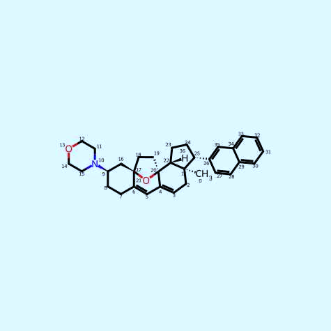 C[C@]12CC=C3C=C4CC[C@@H](N5CCOCC5)C[C@]45CC[C@]3(O5)[C@@H]1CC[C@@H]2c1ccc2ccccc2c1